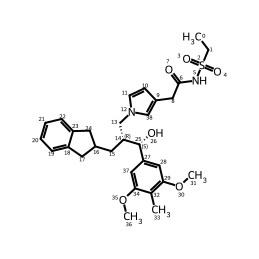 CCS(=O)(=O)NC(=O)Cc1ccn(C[C@@H](CC2Cc3ccccc3C2)[C@H](O)c2cc(OC)c(C)c(OC)c2)c1